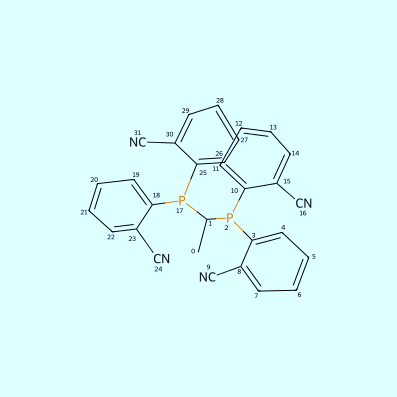 CC(P(c1ccccc1C#N)c1ccccc1C#N)P(c1ccccc1C#N)c1ccccc1C#N